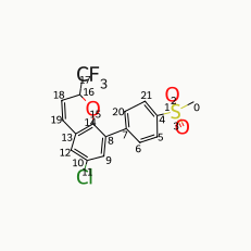 CS(=O)(=O)c1ccc(-c2cc(Cl)cc3c2OC(C(F)(F)F)C=C3)cc1